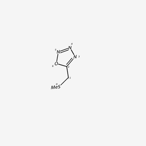 CS[CH]c1nnno1